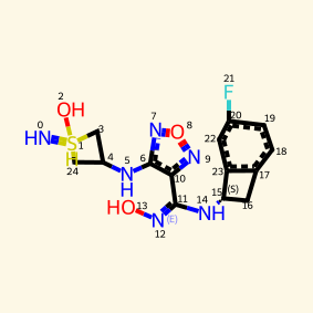 N=[SH]1(O)CC(Nc2nonc2/C(=N\O)N[C@H]2Cc3ccc(F)cc32)C1